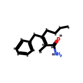 CCCCC(Cc1ccccc1)=C(C)C(N)=O